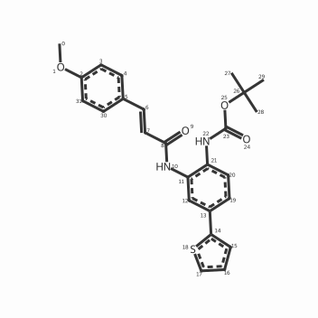 COc1ccc(/C=C/C(=O)Nc2cc(-c3cccs3)ccc2NC(=O)OC(C)(C)C)cc1